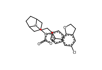 O=c1oc(-c2cc(Cl)cc3c2OCC3)nn1C1CC2CCC(C1)N2CCc1ccccc1